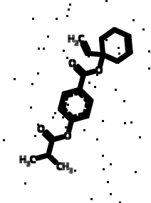 C=CC1(OC(=O)c2ccc(OC(=O)C(C)C)cc2)CC=CCC1